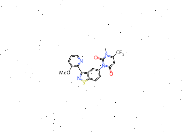 COc1cccnc1-c1nsc2ccc(-n3c(=O)cc(C(F)(F)F)n(C)c3=O)cc12